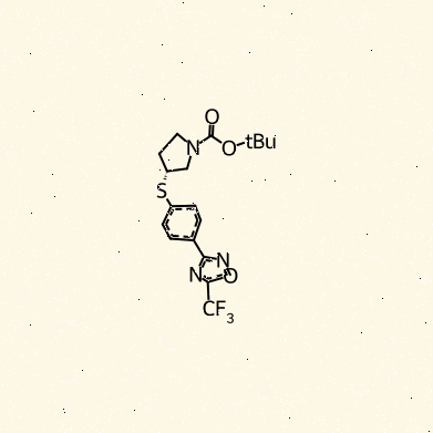 CC(C)(C)OC(=O)N1CC[C@@H](Sc2ccc(-c3noc(C(F)(F)F)n3)cc2)C1